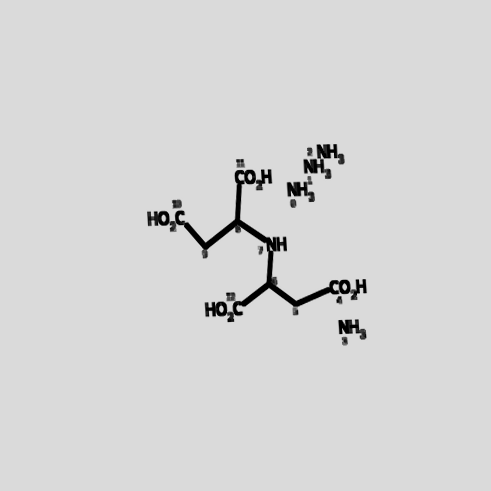 N.N.N.N.O=C(O)CC(NC(CC(=O)O)C(=O)O)C(=O)O